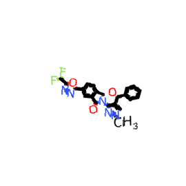 Cn1cc(C(=O)c2ccccc2)c(N2Cc3ccc(-c4nnc(C(F)F)o4)cc3C2=O)n1